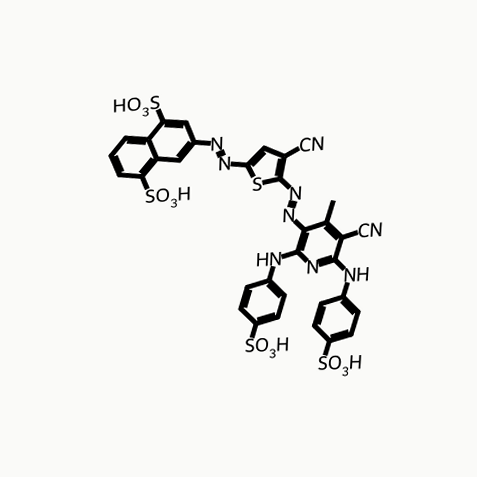 Cc1c(C#N)c(Nc2ccc(S(=O)(=O)O)cc2)nc(Nc2ccc(S(=O)(=O)O)cc2)c1N=Nc1sc(N=Nc2cc(S(=O)(=O)O)c3cccc(S(=O)(=O)O)c3c2)cc1C#N